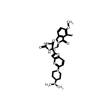 COc1ccc2c(c1F)C(=O)N(C[C@@]1(c3cc4nc(N5CCC(N(C)C)CC5)ccc4o3)NC(=O)NC1=O)C2